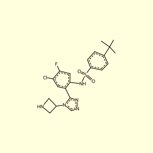 CC(C)(C)c1ccc(S(=O)(=O)Nc2cc(F)c(Cl)cc2-c2nncn2C2CNC2)cc1